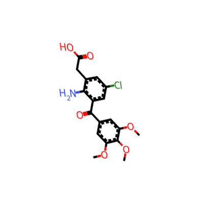 COc1cc(C(=O)c2cc(Cl)cc(CC(=O)O)c2N)cc(OC)c1OC